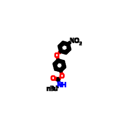 CCCCNC(=O)Oc1ccc(Oc2ccc([N+](=O)[O-])cc2)cc1